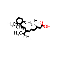 CC1=C(/C=C/C(=C\C=C\C(C)=C\C(=O)O)C(C)C)C(C)(C)CCC1